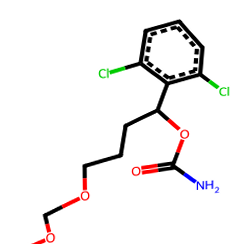 COCOCCCC(OC(N)=O)c1c(Cl)cccc1Cl